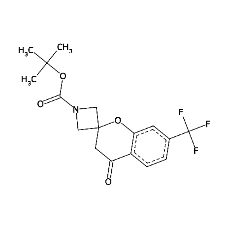 CC(C)(C)OC(=O)N1CC2(CC(=O)c3ccc(C(F)(F)F)cc3O2)C1